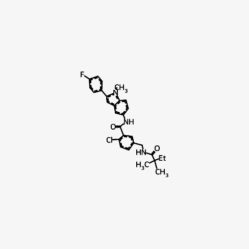 CCC(C)(C)C(=O)NCc1ccc(Cl)c(C(=O)Nc2ccc3c(c2)cc(-c2ccc(F)cc2)n3C)c1